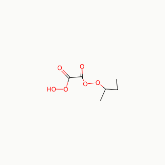 CCC(C)OOC(=O)C(=O)OO